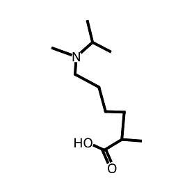 CC(CCCCN(C)C(C)C)C(=O)O